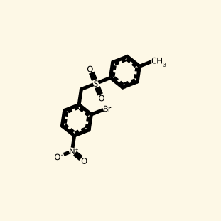 Cc1ccc(S(=O)(=O)Cc2ccc([N+](=O)[O-])cc2Br)cc1